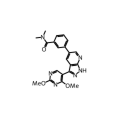 COc1ncc(-c2n[nH]c3ncc(-c4cccc(C(=O)N(C)C)c4)cc23)c(OC)n1